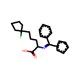 O=C(O)C(CCCC1(F)CCCC1)N=C(c1ccccc1)c1ccccc1